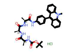 C[C@H](NC(=O)OC(C)(C)C)C(=O)N[C@@H](C)C(=O)N[C@@H](C)C(=O)Nc1ccc(C2=C3CC=CC=C3N(C)c3ccccc32)cc1.Cl